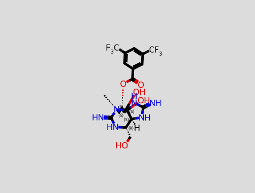 C[C@H]1[C@H](OC(=O)c2cc(C(F)(F)F)cc(C(F)(F)F)c2)C(O)(O)[C@]23NC(=N)N[C@H]2[C@H](CO)NC(=N)N13